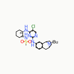 CCC(C)N1C2CCC1c1cc(Nc3ncc(Cl)c(N[C@@H]4CCCC[C@H]4NS(C)(=O)=O)n3)ccc1C2